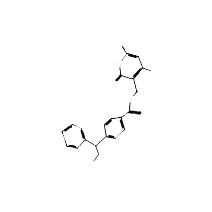 Cc1cc(C)c(CNC(=O)c2ccc(C(CO)c3ccccc3)cc2)c(=O)[nH]1